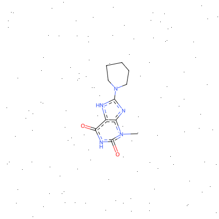 Cn1c(=O)[nH]c(=O)c2[nH]c(N3CCCCC3)nc21